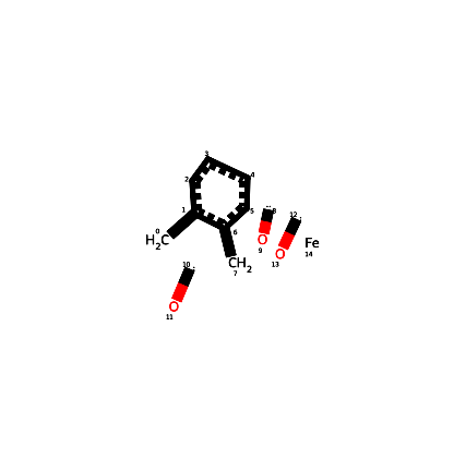 C=c1ccccc1=C.[C]=O.[C]=O.[C]=O.[Fe]